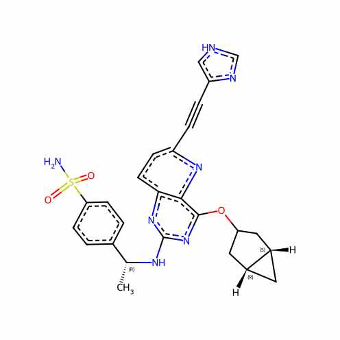 C[C@@H](Nc1nc(OC2C[C@@H]3C[C@@H]3C2)c2nc(C#Cc3c[nH]cn3)ccc2n1)c1ccc(S(N)(=O)=O)cc1